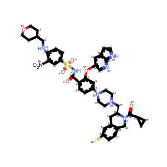 O=C(NS(=O)(=O)c1ccc(NCC2CCOCC2)c([N+](=O)[O-])c1)c1ccc(N2CCN(C[C@@H]3Cc4cc(F)ccc4CN3C(=O)C3CC3)CC2)cc1Oc1cnc2[nH]ccc2c1